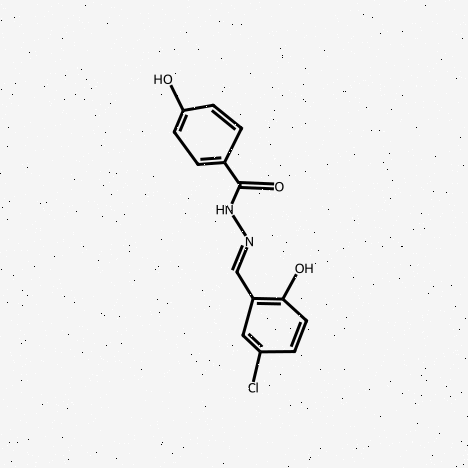 O=C(N/N=C/c1cc(Cl)ccc1O)c1ccc(O)cc1